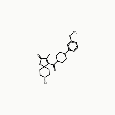 CCN1CCC2(CC1)OC(=O)C(C)=C2C(=O)C1CCN(c2cccc(OC(F)(F)F)c2)CC1